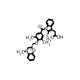 Cc1cc(C(=O)n2c(C)c(CC(=O)O)c3ccccc32)cc(C)c1OC[C@@H]1CN(C)c2ccccc2O1